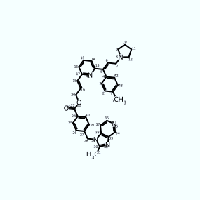 Cc1ccc(/C(=C\CN2CCCC2)c2cccc(/C=C/COC(=O)c3ccc(Cn4c(C)nc5cnccc54)cc3)n2)cc1